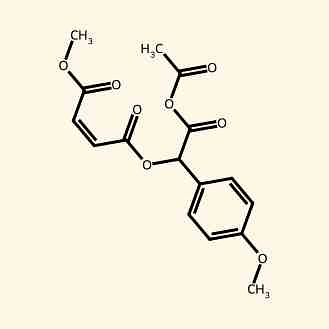 COC(=O)/C=C\C(=O)OC(C(=O)OC(C)=O)c1ccc(OC)cc1